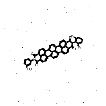 CCCc1cccc(C(C)C)c1C1C(=O)c2ccc3c4ccc5c6ccc7c8c(ccc(c9ccc(c%10ccc(c2c3%10)C1=O)c4c59)c86)C(=O)N(c1cccc(S(=O)(=O)O)c1)C7=O